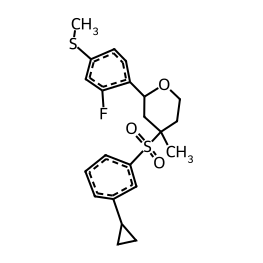 CSc1ccc(C2CC(C)(S(=O)(=O)c3cccc(C4CC4)c3)CCO2)c(F)c1